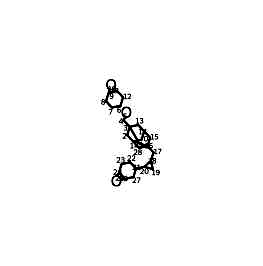 C1C2CC3(COC4CCC5OC5C4)CC1CC(CC1CC1C1CCC4OC4C1)(C2)C3